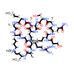 CSCC[C@H](NC(=O)[C@@H](N)CO)C(=O)N[C@@H](CCC(N)=O)C(=O)N[C@@H](C)C(=O)N[C@@H](CO)C(=O)N[C@@H](CC(C)C)C(=O)N[C@@H](CCC(=O)O)C(=O)N[C@@H](C)C(=O)N[C@@H](CCC(=O)O)C(=O)N[C@@H](C)C(=O)N[C@@H](CCCCN)C(=O)NCC(=O)N[C@@H](CCCNC(=N)N)C(=O)N[C@@H](C)C(=O)N[C@@H](CCC(=O)O)C(=O)O